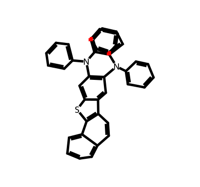 c1ccc(N(c2ccccc2)c2cc3sc4c5ccccc5ccc4c3cc2N(c2ccccc2)c2ccccc2)cc1